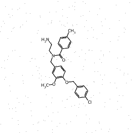 COc1cc(CN(CCN)C(=O)c2ccc(C)cc2)ccc1OCc1ccc(Cl)cc1